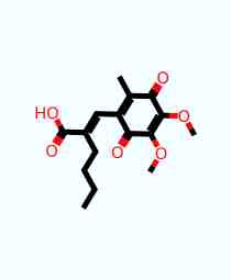 CCCCC(=CC1=C(C)C(=O)C(OC)=C(OC)C1=O)C(=O)O